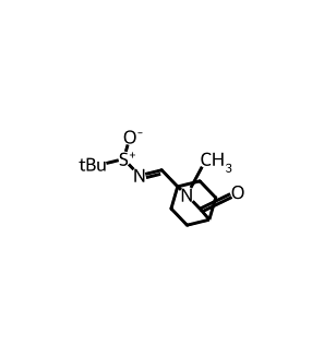 CN1C(=O)C2CCC1(/C=N/[S+]([O-])C(C)(C)C)CC2